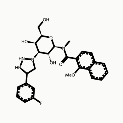 COc1c(C(=O)N(C)[C@@H]2O[C@H](CO)[C@H](O)[C@H](N3CC(c4cccc(F)c4)NN3)[C@H]2O)ccc2ccccc12